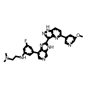 COc1cncc(-c2ccc3[nH]nc(-c4nc5c(-c6cc(F)cc(NCCN(C)C)c6)cncc5[nH]4)c3n2)c1